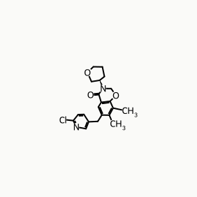 Cc1c(Cc2ccc(Cl)nc2)cc2c(c1C)OCN([C@@H]1CCCOC1)C2=O